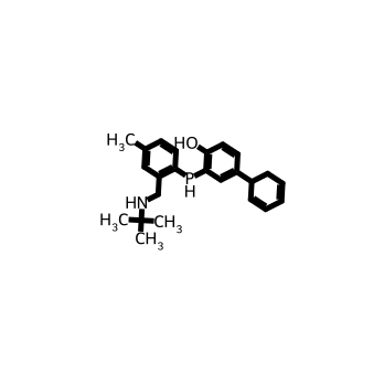 Cc1ccc(Pc2cc(C3C=CC=CC3)ccc2O)c(CNC(C)(C)C)c1